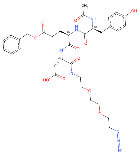 CC(=O)N[C@@H](Cc1ccc(O)cc1)C(=O)N[C@H](CCC(=O)OCc1ccccc1)C(=O)N[C@@H](CC(=O)O)C(=O)NCCOCCOCCN=[N+]=[N-]